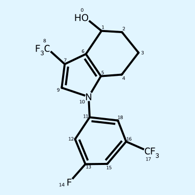 OC1CCCc2c1c(C(F)(F)F)cn2-c1cc(F)cc(C(F)(F)F)c1